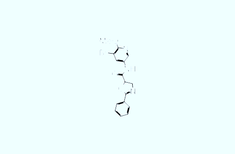 COc1ncc(NC(=O)C2CN=C(c3ccccc3)O2)cc1Br